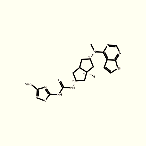 CSc1nsc(NC(=O)N[C@@H]2CC3C[C@H](N(C)c4ncnc5[nH]ccc45)C[C@H]3C2)n1